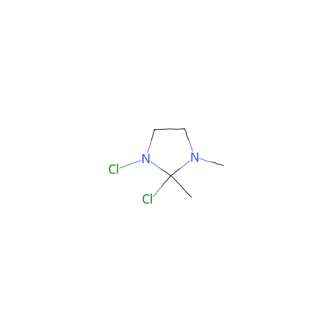 CN1CCN(Cl)C1(C)Cl